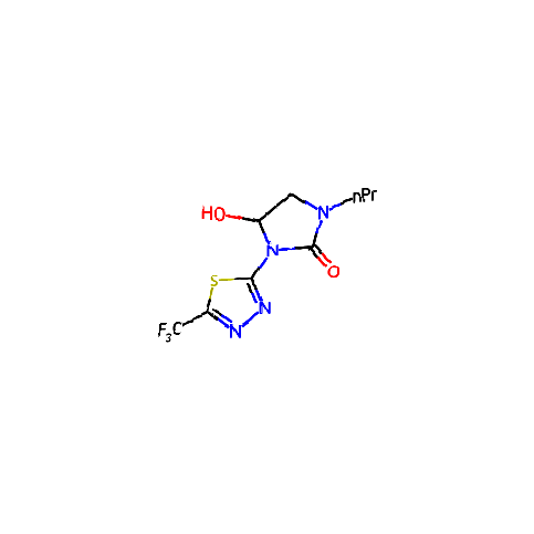 CCCN1CC(O)N(c2nnc(C(F)(F)F)s2)C1=O